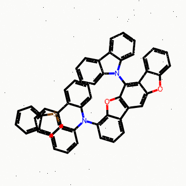 c1ccc(-c2ccccc2N(c2cccc3c2oc2c(-n4c5ccccc5c5ccccc54)c4c(cc23)oc2ccccc24)c2cccc3c2sc2ccccc23)cc1